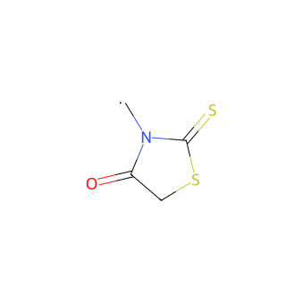 [CH2]N1C(=O)CSC1=S